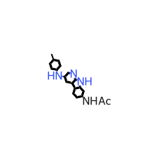 CC(=O)Nc1ccc2c(c1)[nH]c1ncc(Nc3ccc(C)cc3)cc12